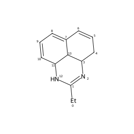 CCC1=NC2CC=CC3=CC=CC(N1)C32